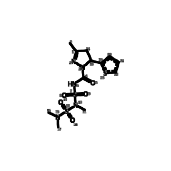 CC1=NN(C(=O)NS(=O)(=O)N(C)S(=O)(=O)N(C)C)C(c2cccs2)C1